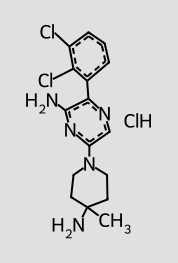 CC1(N)CCN(c2cnc(-c3cccc(Cl)c3Cl)c(N)n2)CC1.Cl